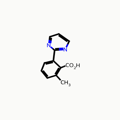 Cc1cccc(-c2ncccn2)c1C(=O)O